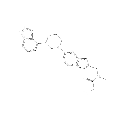 CN(Cc1cc2nc(N3CCOC(c4cccc5[nH]ncc45)C3)ncc2s1)C(=O)CO